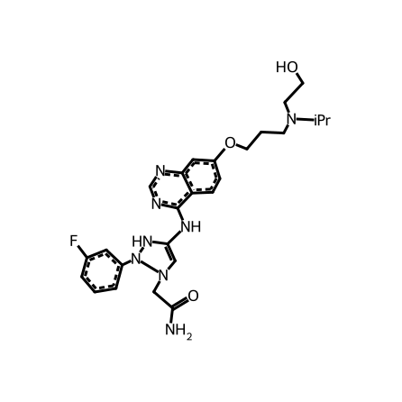 CC(C)N(CCO)CCCOc1ccc2c(NC3=CN(CC(N)=O)N(c4cccc(F)c4)N3)ncnc2c1